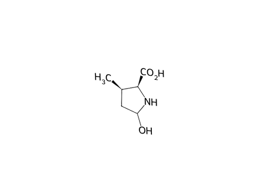 C[C@@H]1CC(O)N[C@@H]1C(=O)O